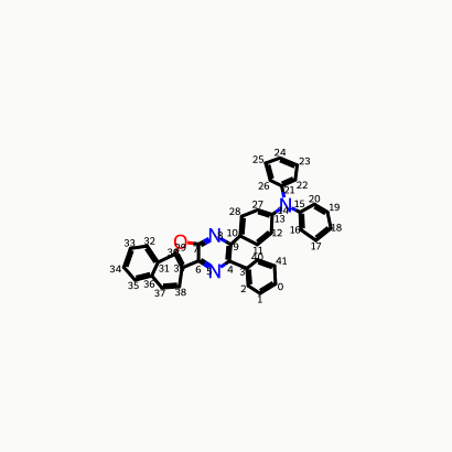 c1ccc(-c2nc3c(nc2-c2ccc(N(c4ccccc4)c4ccccc4)cc2)oc2c4ccccc4ccc32)cc1